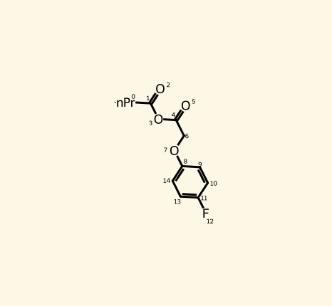 CC[CH]C(=O)OC(=O)COc1ccc(F)cc1